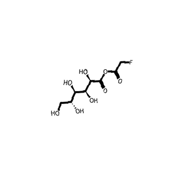 O=C(CF)OC(=O)[C@H](O)[C@@H](O)[C@H](O)[C@H](O)CO